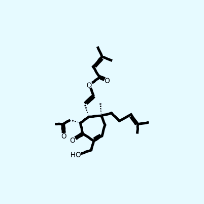 CC(=O)C[C@H]1C(=O)C(CO)=CC[C@](C)(CCC=C(C)C)[C@H]1/C=C/OC(=O)C=C(C)C